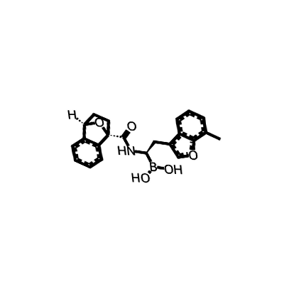 Cc1cccc2c(C[C@H](NC(=O)[C@@]34CC[C@@H](O3)c3ccccc34)B(O)O)coc12